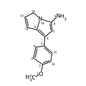 COc1ccc(-c2cc(N)n3c2C=CC3)cc1